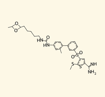 CSc1sc(C(=N)N)cc1S(=O)(=O)c1cccc(-c2ccc(NC(=O)NCCCCCC3OC(C)O3)cc2C)c1